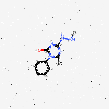 CCNNc1nc(CC)n(-c2ccccc2)c(=O)n1